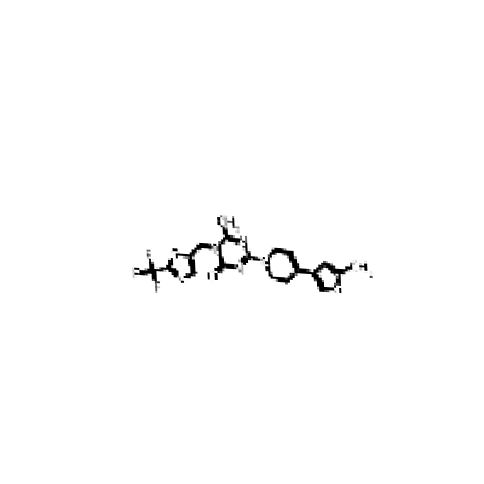 Cc1cc(C2=CCN(c3nc(C)n(Cc4cnc(C(F)(F)F)s4)c(=O)n3)CC2)cs1